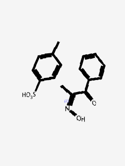 C/C(=N/O)C(=O)c1ccccc1.Cc1ccc(S(=O)(=O)O)cc1